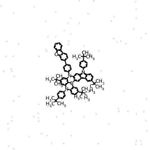 CC(C)(C)c1ccc(N2c3ccc(C(C)(C)C)cc3B3c4cc5c6cc(C(C)(C)C)ccc6n(-c6ccc(C(C)(C)C)cc6)c5cc4N(c4ccc(-c5ccc6c(c5)oc5ccccc56)cc4)c4cc(C(C)(C)C)cc2c43)cc1